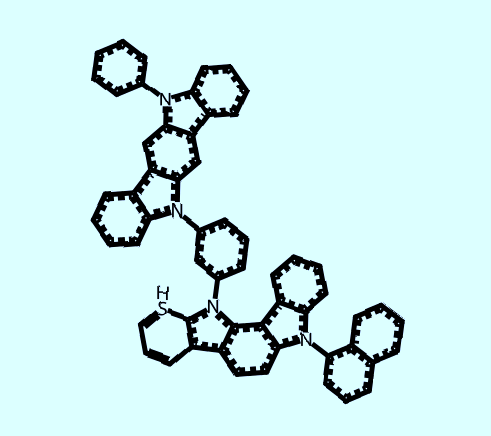 C1=Cc2c(n(-c3cccc(-n4c5ccccc5c5cc6c(cc54)c4ccccc4n6-c4ccccc4)c3)c3c2ccc2c3c3ccccc3n2-c2cccc3ccccc23)[SH]=C1